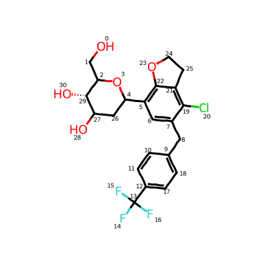 OCC1OC(c2cc(Cc3ccc(C(F)(F)F)cc3)c(Cl)c3c2OCC3)CC(O)[C@@H]1O